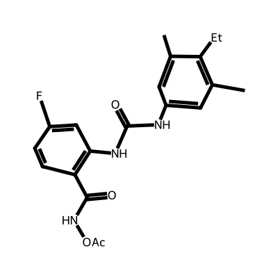 CCc1c(C)cc(NC(=O)Nc2cc(F)ccc2C(=O)NOC(C)=O)cc1C